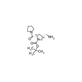 CC(C)(C)OC(=O)N1C[C@@H](CN)C[C@H]1C(=O)N1CCCC1